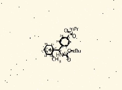 CCCS(=O)(=O)c1ccc(C(NC(=O)OC(C)(C)C)C23CCC(CC2)CN3C)cc1